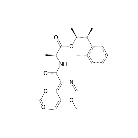 C=N/C(C(=O)N[C@@H](C)C(=O)O[C@@H](C)[C@@H](C)c1ccccc1C)=C(OC(C)=O)\C(=C/C)OC